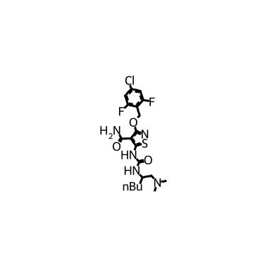 CCCCC(CN(C)C)NC(=O)Nc1snc(OCc2c(F)cc(Cl)cc2F)c1C(N)=O